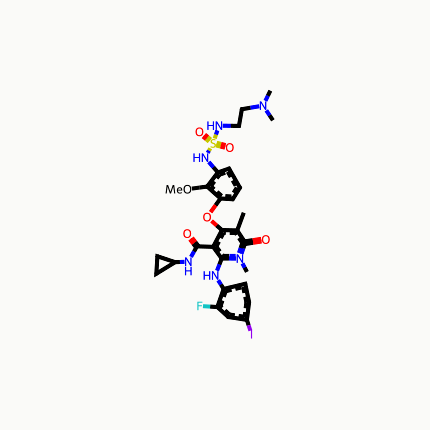 COc1c(NS(=O)(=O)NCCN(C)C)cccc1Oc1c(C(=O)NC2CC2)c(Nc2ccc(I)cc2F)n(C)c(=O)c1C